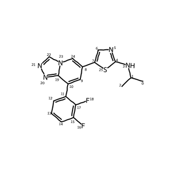 CC(C)Nc1ncc(-c2cc(-c3cccc(F)c3F)c3nncn3c2)s1